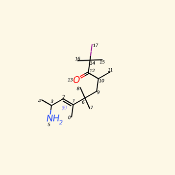 C/C(=C\C(C)N)C(C)(C)CC(C)C(=O)C(C)(C)I